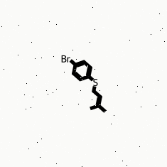 CC(C)=CCSc1ccc(Br)cc1